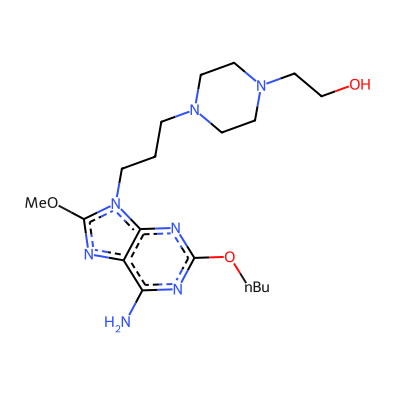 CCCCOc1nc(N)c2nc(OC)n(CCCN3CCN(CCO)CC3)c2n1